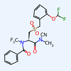 CN(C#N)C(=O)[C@H](CS(=O)(=O)Cc1ccccc1OC(F)F)N(C(=O)c1ccccc1)C(F)(F)F